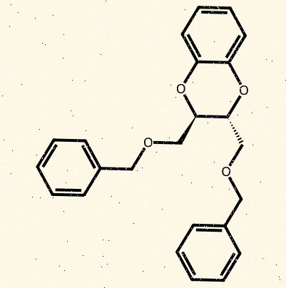 c1ccc(COC[C@H]2Oc3ccccc3O[C@@H]2COCc2ccccc2)cc1